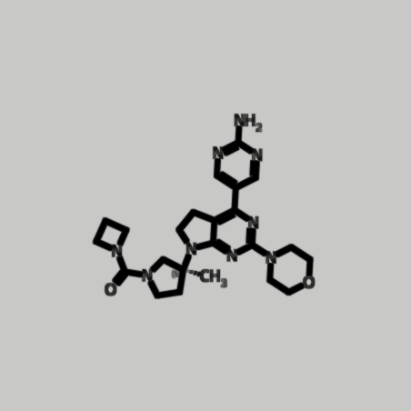 C[C@]1(N2CCc3c(-c4cnc(N)nc4)nc(N4CCOCC4)nc32)CCN(C(=O)N2CCC2)C1